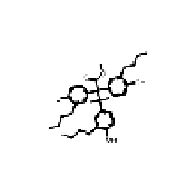 CCCCc1cc(C(C)(C)C(C(=O)OC)(c2ccc(O)c(CCCC)c2)c2ccc(O)c(CCCC)c2)ccc1O